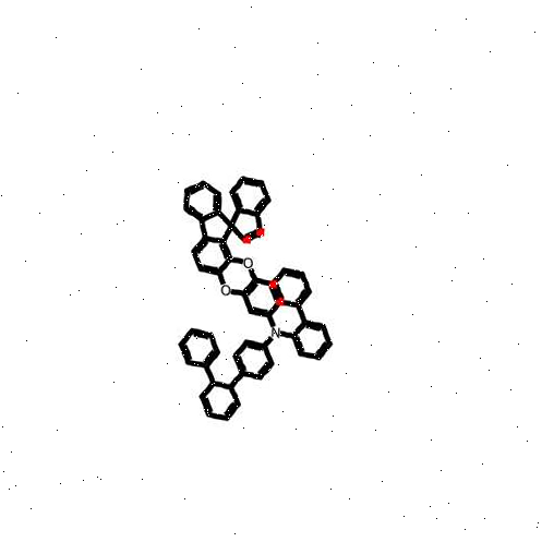 C1=CC(c2ccccc2)C(c2ccc(N(c3ccc4c(c3)Oc3ccc5c(c3O4)C3(c4ccccc4-c4ccccc43)c3ccccc3-5)c3ccccc3-c3ccccc3)cc2)C=C1